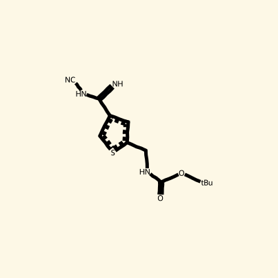 CC(C)(C)OC(=O)NCc1cc(C(=N)NC#N)cs1